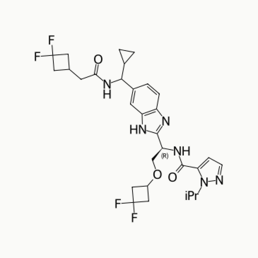 CC(C)n1nccc1C(=O)N[C@@H](COC1CC(F)(F)C1)c1nc2ccc(C(NC(=O)CC3CC(F)(F)C3)C3CC3)cc2[nH]1